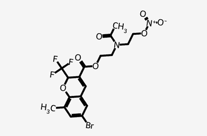 CC(=O)N(CCOC(=O)C1=Cc2cc(Br)cc(C)c2OC1C(F)(F)F)CCO[N+](=O)[O-]